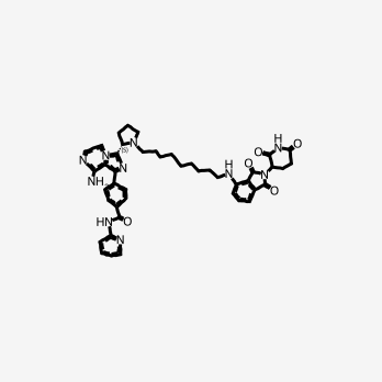 Nc1nccn2c([C@@H]3CCCN3CCCCCCCCCNc3cccc4c3C(=O)N(C3CCC(=O)NC3=O)C4=O)nc(-c3ccc(C(=O)Nc4ccccn4)cc3)c12